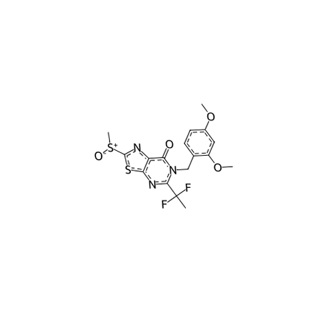 COc1ccc(Cn2c(C(C)(F)F)nc3sc([S+](C)[O-])nc3c2=O)c(OC)c1